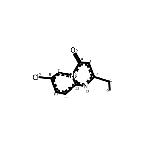 CCc1cc(=O)n2cc(Cl)ccc2n1